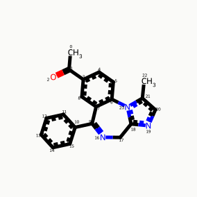 CC(=O)c1ccc2c(c1)C(c1ccccc1)=NCc1ncc(C)n1-2